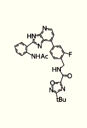 CC(=O)Nc1ccccc1-c1nc2c(-c3ccc(CNC(=O)c4nc(C(C)(C)C)no4)c(F)c3)ccnc2[nH]1